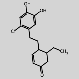 CCC1CC(=O)C=CC1CCc1cc(O)c(O)cc1Cl